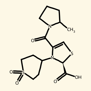 CC1CCCN1C(=O)C1=CS[C@@H](C(=O)O)N1C1CCS(=O)(=O)CC1